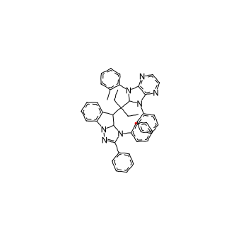 CCC(CC)(C1c2ccccc2N2N=C(c3ccccc3)N(c3ccccc3)C12)C1N(c2ccccc2)c2nccnc2N1c1ccccc1C